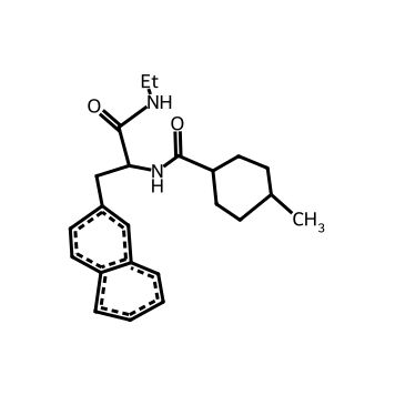 CCNC(=O)C(Cc1ccc2ccccc2c1)NC(=O)C1CCC(C)CC1